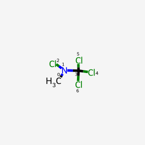 CN(Cl)C(Cl)(Cl)Cl